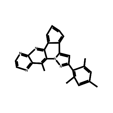 Cc1cc(C)c(-c2cc3c4ccccc4c4nc5nccnc5c(C)c4n3n2)c(C)c1